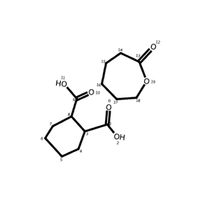 O=C(O)C1CCCCC1C(=O)O.O=C1CCCCCO1